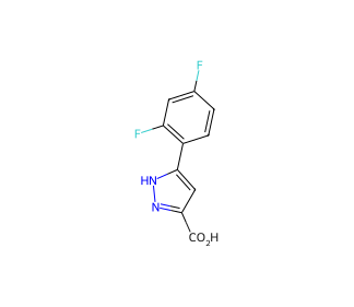 O=C(O)c1cc(-c2ccc(F)cc2F)[nH]n1